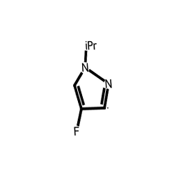 CC(C)n1cc(F)[c]n1